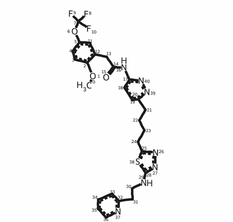 COc1ccc(OC(F)(F)F)cc1CC(=O)Nc1ccc(CCCCc2nnc(NCCc3ccccn3)s2)nn1